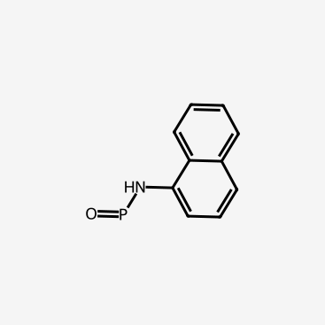 O=PNc1cccc2ccccc12